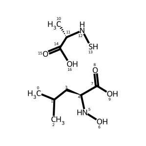 CC(C)C[C@H](NO)C(=O)O.C[C@H](NS)C(=O)O